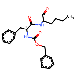 CCCCC(C=O)NC(=O)[C@H](Cc1ccccc1)NC(=O)OCc1ccccc1